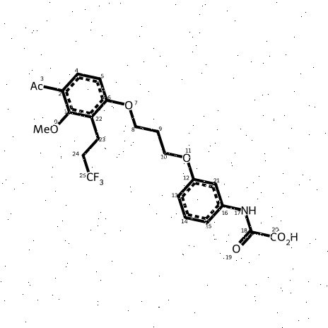 COc1c(C(C)=O)ccc(OCCCOc2cccc(NC(=O)C(=O)O)c2)c1CCC(F)(F)F